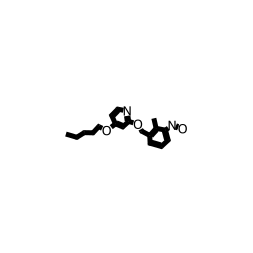 CCCCCOc1ccnc(OCc2cccc(N=O)c2C)c1